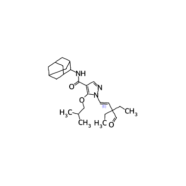 CCC(C=O)(/C=C/n1ncc(C(=O)NC2C3CC4CC(C3)CC2C4)c1OCC(C)C)CC